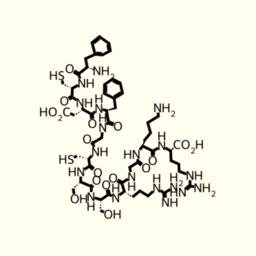 N=C(N)NCCC[C@H](NC(=O)[C@H](CCCCN)NC(=O)CNC(=O)[C@H](CCCNC(=N)N)NC(=O)[C@H](CO)NC(=O)[C@H](CO)NC(=O)[C@H](CS)NC(=O)CNC(=O)[C@H](Cc1ccccc1)NC(=O)[C@H](CC(=O)O)NC(=O)[C@H](CS)NC(=O)[C@@H](N)Cc1ccccc1)C(=O)O